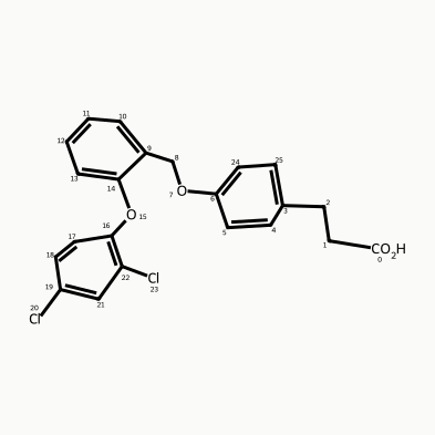 O=C(O)CCc1ccc(OCc2ccccc2Oc2ccc(Cl)cc2Cl)cc1